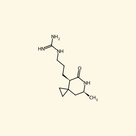 C[C@H]1CC2(CC2)[C@@H](CCCNC(=N)N)C(=O)N1